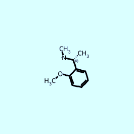 C[N][C@H](C)c1ccccc1OC